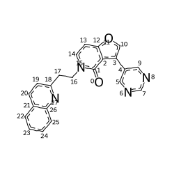 O=c1c2c(-c3cncnc3)coc2ccn1CCc1ccc2ccccc2n1